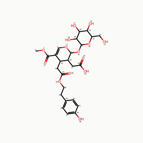 COC(=O)C1=COC(OC2OC(CO)C(O)C(O)C2O)C(CC(=O)O)C1CC(=O)OCCc1ccc(O)cc1